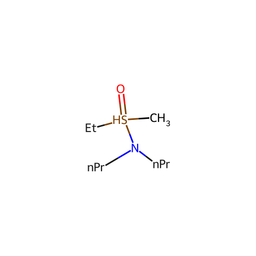 CCCN(CCC)[SH](C)(=O)CC